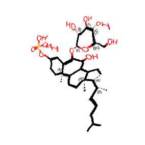 CC(C)CCC[C@@H](C)[C@H]1CCC2C3C(O)C(O[C@H]4O[C@H](CO)[C@@H](O)[C@H](O)[C@H]4O)=C4CC(OP(=O)(O)O)CC[C@]4(C)C3CC[C@@]21C